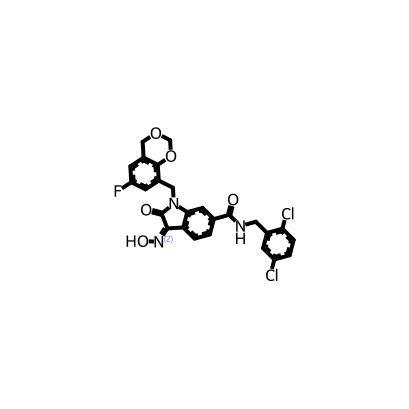 O=C(NCc1cc(Cl)ccc1Cl)c1ccc2c(c1)N(Cc1cc(F)cc3c1OCOC3)C(=O)/C2=N\O